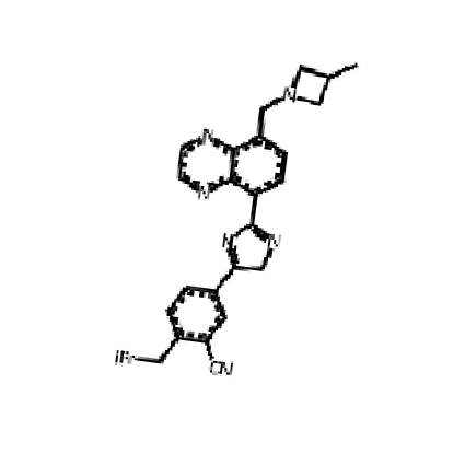 CC(C)Cc1ccc(C2=NC(c3ccc(CN4CC(C)C4)c4nccnc34)=NC2)cc1C#N